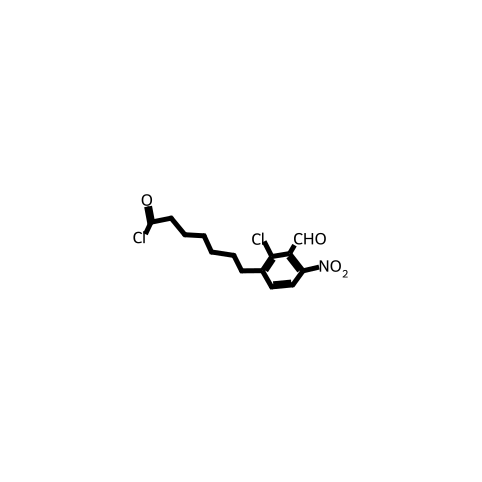 O=Cc1c([N+](=O)[O-])ccc(CCCCCCC(=O)Cl)c1Cl